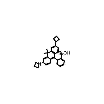 CC1(C)C2=CC(=[N+]3CCC3)C=CC2=C(c2ccccc2C(=O)O)c2ccc(C3CCC3)cc21